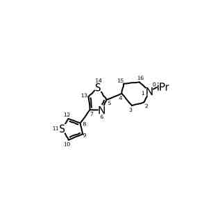 CC(C)N1CCC(c2nc(-c3ccsc3)cs2)CC1